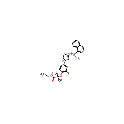 CCOC(=O)C(C)(C)Oc1ccc([C@@H]2CC[C@H](N[C@H](C)c3cccc4ccccc34)C2)cc1F